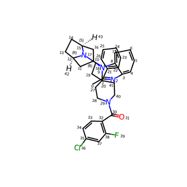 Cc1nc2ccccc2n1[C@H]1C[C@H]2CC[C@@H](C1)N2CCC1(c2ccccc2)CCN(C(=O)c2ccc(Cl)cc2F)CC1